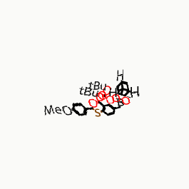 COc1ccc(CSc2ccc(CB3O[C@@H]4C[C@@H]5C[C@@H](C5(C)C)[C@]4(C)O3)c(OC(=O)OC(C)(C)C)c2C(=O)OC(C)(C)C)cc1